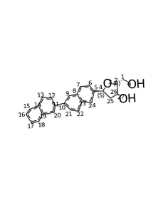 OC[C@H]1O[C@H](c2ccc3cc(-c4ccc5ccccc5c4)ccc3c2)CC1O